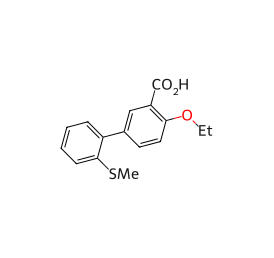 CCOc1ccc(-c2ccccc2SC)cc1C(=O)O